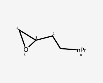 [CH2]CCCCC1[CH]O1